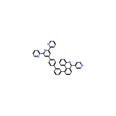 c1ccc(-c2cc(-c3ccc(-c4cccc(-c5cccc6c(-c7ccncc7)nc7ccccc7c56)c4)cc3)cc(-c3ccccn3)n2)nc1